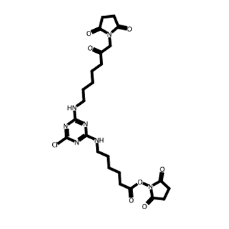 O=C(CCCCCNc1nc(Cl)nc(NCCCCCC(=O)ON2C(=O)CCC2=O)n1)CN1C(=O)CCC1=O